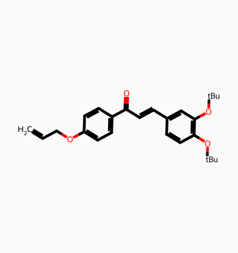 C=CCOc1ccc(C(=O)C=Cc2ccc(OC(C)(C)C)c(OC(C)(C)C)c2)cc1